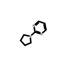 [CH]1CCCN1c1ncccn1